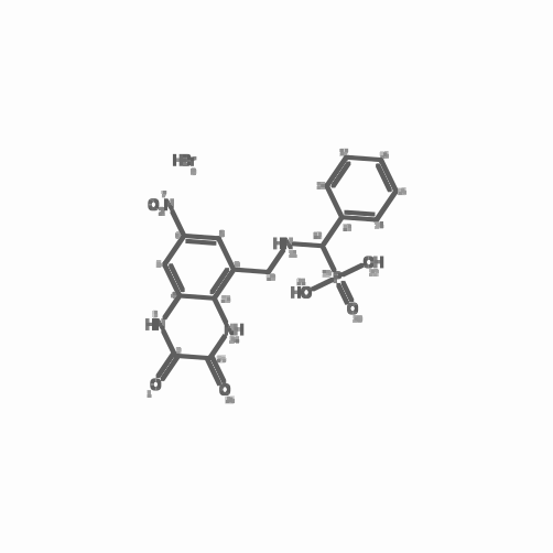 Br.O=c1[nH]c2cc([N+](=O)[O-])cc(CNC(c3ccccc3)P(=O)(O)O)c2[nH]c1=O